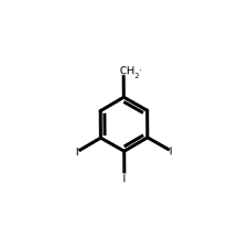 [CH2]c1cc(I)c(I)c(I)c1